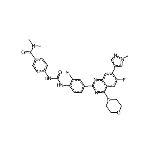 CN(C)C(=O)c1ccc(NC(=O)Nc2ccc(-c3nc(N4CCOCC4)c4cc(F)c(-c5cnn(C)c5)cc4n3)cc2F)cc1